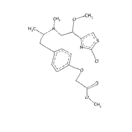 COC(=O)COc1ccc(CC(C)N(C)CC(OC)c2csc(Cl)n2)cc1